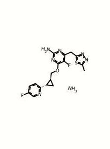 Cc1nnc(Cc2nc(N)nc(OC[C@H]3C[C@@H]3c3ccc(F)cn3)c2F)s1.N